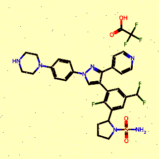 NS(=O)(=O)N1CCCC1c1cc(C(F)F)cc(-c2cn(-c3ccc(N4CCNCC4)cc3)nc2-c2ccncc2)c1F.O=C(O)C(F)(F)F